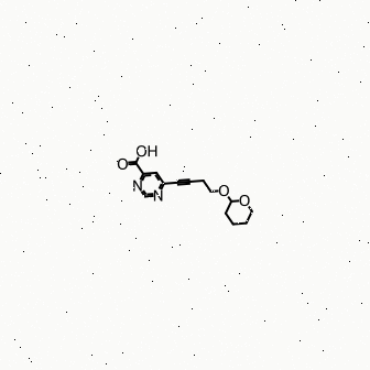 O=C(O)c1cc(C#CCCOC2CCCCO2)ncn1